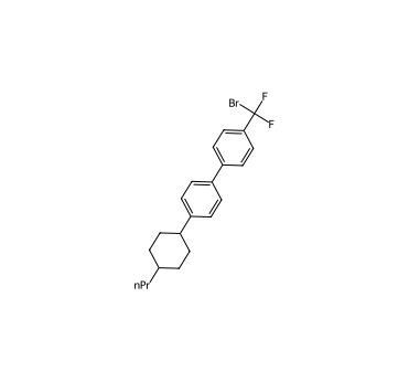 CCCC1CCC(c2ccc(-c3ccc(C(F)(F)Br)cc3)cc2)CC1